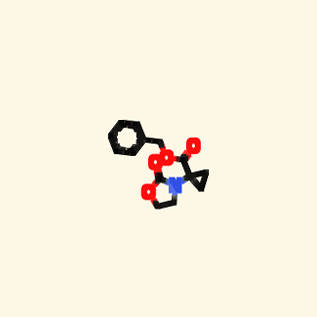 O=C1OCCN1C1(C(=O)OCc2ccccc2)CC1